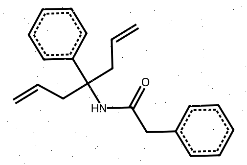 C=CCC(CC=C)(NC(=O)Cc1ccccc1)c1ccccc1